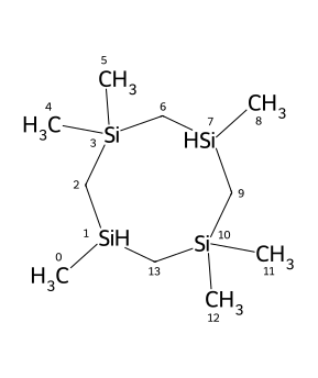 C[SiH]1C[Si](C)(C)C[SiH](C)C[Si](C)(C)C1